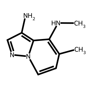 CNc1c(C)ccn2ncc(N)c12